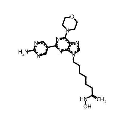 C=C(CCCCCCn1cnc2c(N3CCOCC3)nc(-c3cnc(N)nc3)nc21)NO